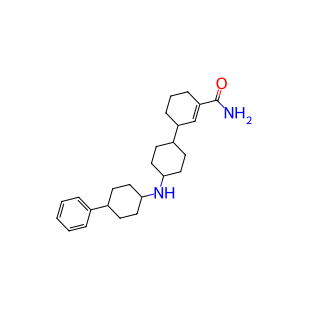 NC(=O)C1=CC(C2CCC(NC3CCC(c4ccccc4)CC3)CC2)CCC1